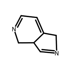 C1=NCC2=CC=NCC12